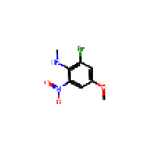 CNc1c(Br)cc(OC)cc1[N+](=O)[O-]